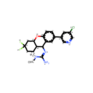 CN(C=O)/C(N)=N\C1c2cc(-c3cncc(Cl)c3)ccc2OC2CC(F)(F)CCC21